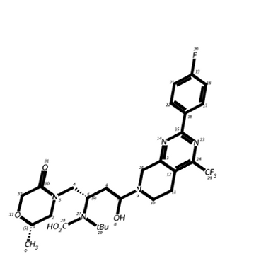 C[C@H]1CN(C[C@H](CC(O)N2CCc3c(nc(-c4ccc(F)cc4)nc3C(F)(F)F)C2)N(C(=O)O)C(C)(C)C)C(=O)CO1